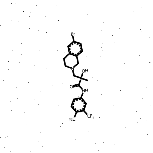 CC(O)(CN1CCc2cc(Br)ccc2C1)C(=O)Nc1ccc(C#N)c(C(F)(F)F)c1